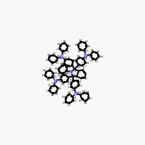 C1=CC2C(C=C1)C(c1ccc(N(c3ccccc3)c3ccccc3)cc1)(c1ccc(N(c3ccccc3)c3ccccc3)cc1)N(c1ccccc1)C2(c1ccc(N(c2ccccc2)c2ccccc2)cc1)c1ccc(N(c2ccccc2)c2ccccc2)cc1